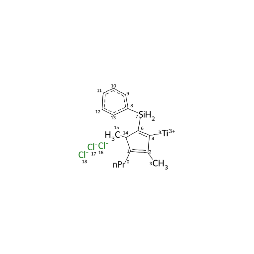 CCCC1=C(C)[C]([Ti+3])=C([SiH2]c2ccccc2)C1C.[Cl-].[Cl-].[Cl-]